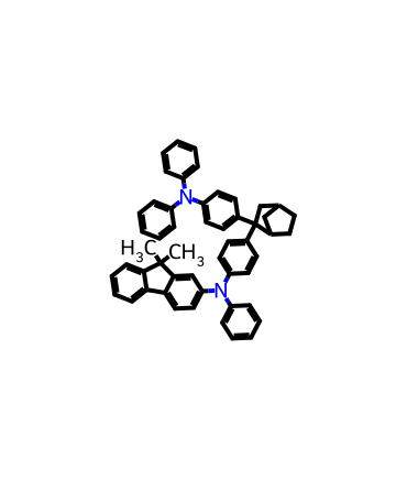 CC1(C)c2ccccc2-c2ccc(N(c3ccccc3)c3ccc(C4(c5ccc(N(c6ccccc6)c6ccccc6)cc5)CC5CCC4C5)cc3)cc21